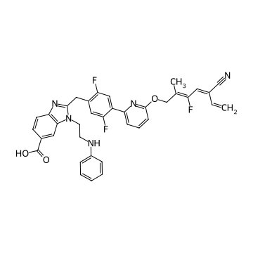 C=C/C(C#N)=C\C(F)=C(/C)COc1cccc(-c2cc(F)c(Cc3nc4ccc(C(=O)O)cc4n3CCNc3ccccc3)cc2F)n1